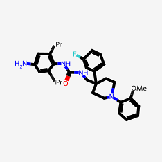 COc1ccccc1N1CCC(CNC(=O)Nc2c(C(C)C)cc(N)cc2C(C)C)(c2cccc(F)c2)CC1